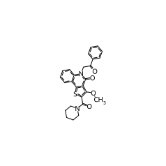 COc1c(C(=O)N2CCCCC2)sc2c1c(=O)n(CC(=O)c1ccccc1)c1ccccc21